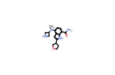 CN(c1ccc(C(N)=O)c2[nH]c(C3CCOC3)cc12)C1CNC1